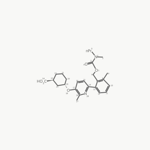 CCCN(C)C(=O)OCc1c(C)cccc1-c1ccc(O[C@H]2CCC[C@H](C(=O)O)C2)c(C)n1